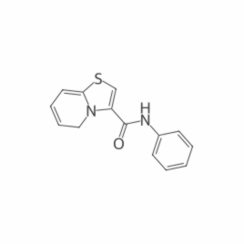 O=C(Nc1ccccc1)C1=CSC2=CC=CCN21